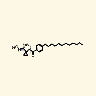 CCCCCCCCCCCCc1ccc(C(=O)NC2(/C(N)=N/O)CC2)cc1